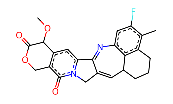 COC1C(=O)OCc2c1cc1n(c2=O)CC2=CC3CCCc4c(C)c(F)cc(c43)N=C21